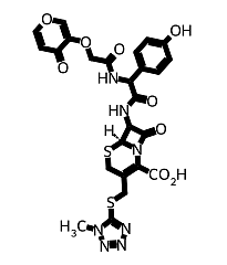 Cn1nnnc1SCC1=C(C(=O)O)N2C(=O)C(NC(=O)C(NC(=O)COc3coccc3=O)c3ccc(O)cc3)[C@@H]2SC1